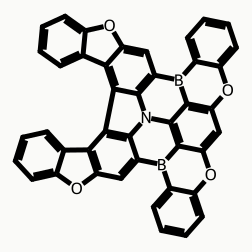 c1ccc2c(c1)Oc1cc3c4c5c1B2c1cc2oc6ccccc6c2c2c6c7c(cc(c6n-5c12)B4c1ccccc1O3)oc1ccccc17